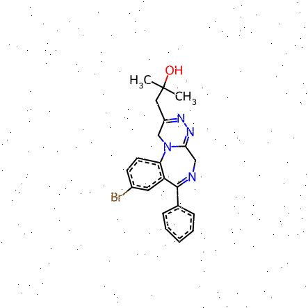 CC(C)(O)CC1=NN=C2CN=C(c3ccccc3)c3cc(Br)ccc3N2C1